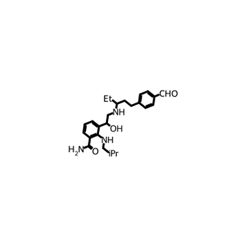 CCC(CCc1ccc(C=O)cc1)NCC(O)c1cccc(C(N)=O)c1NCC(C)C